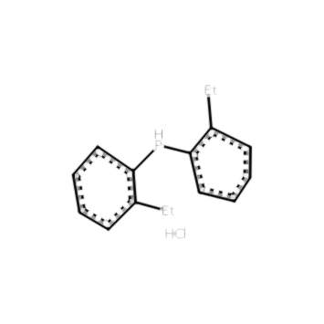 CCc1ccccc1Pc1ccccc1CC.Cl